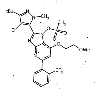 COCCOc1cc(-c2ccccc2C(F)(F)F)nc2nc(-c3c(Cl)c(C(C)(C)C)nn3C)n(OS(C)(=O)=O)c12